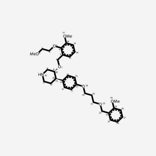 COCCOc1c(CO[C@H]2CNCC[C@@H]2c2ccc(OCCCOCc3ccccc3OC)cc2)cccc1OC